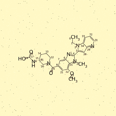 CCn1c(-c2nc3cc(C(=O)N4CCC[C@@H](NC(=O)O)C4)cc(OC)c3n2C)cc2ncccc21